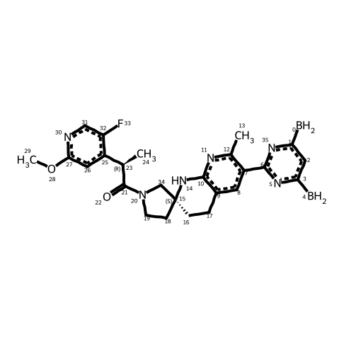 Bc1cc(B)nc(-c2cc3c(nc2C)N[C@@]2(CC3)CCN(C(=O)[C@H](C)c3cc(OC)ncc3F)C2)n1